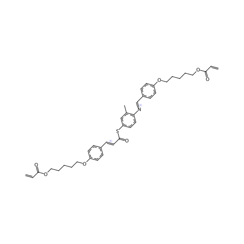 C=CC(=O)OCCCCCOc1ccc(/C=C/C(=O)Sc2ccc(/N=C/c3ccc(OCCCCCOC(=O)C=C)cc3)c(C)c2)cc1